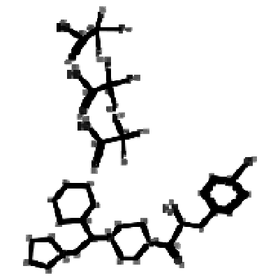 NC(Cc1ccc(Cl)cc1)C(=O)N1CCN(C(CN2CCCC2)C2CCCCC2)CC1.O=C(O)C(F)(F)F.O=C(O)C(F)(F)F.O=C(O)C(F)(F)F